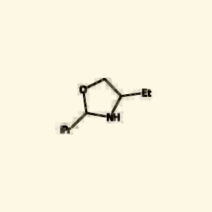 CCC1COC(C(C)C)N1